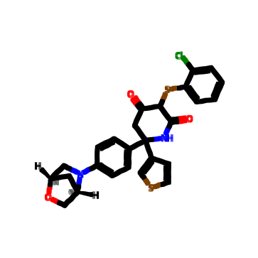 O=C1CC(c2ccc(N3C[C@@H]4C[C@H]3CO4)cc2)(c2ccsc2)NC(=O)C1Sc1ccccc1Cl